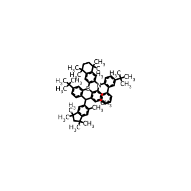 Cc1cc2c3c(c1)N(c1ccc(C(C)(C)C)cc1-c1ccccc1)c1cc4c(cc1B3c1cc(C(C)(C)C)ccc1C2c1cc2c(cc1C)C(C)(C)CC2(C)C)C(C)(C)CCC4(C)C